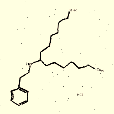 CCCCCCCCCCCCCCCCC(CCCCCCCCCCCCCCCC)NCCc1ccccc1.Cl